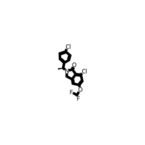 C[C@@H](c1ccc(Cl)cc1)N1Cc2cc(OC(F)F)cc(Cl)c2C1=O